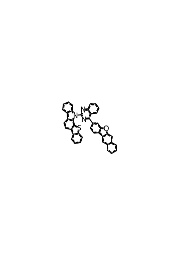 c1ccc2cc3c(cc2c1)oc1cc(-c2nc(-n4c5ccccc5c5ccc6c7ccccc7sc6c54)nc4ccccc24)ccc13